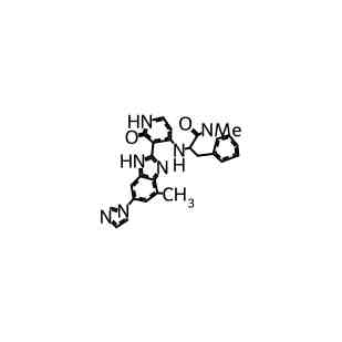 CNC(=O)C(Cc1ccccc1)Nc1cc[nH]c(=O)c1-c1nc2c(C)cc(-n3ccnc3)cc2[nH]1